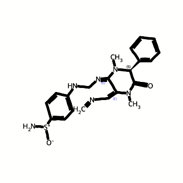 C=N/C=C1\C(=N/CNc2ccc([S+](N)[O-])cc2)N(C)[C@@H](c2ccccc2)C(=O)N1C